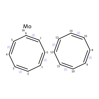 C1=C\C=C/C=C\C=C/1.C1=C\C=C/C=C\C=C/1.[Mo]